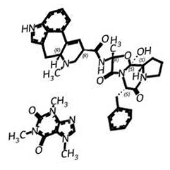 CN1C[C@H](C(=O)N[C@]2(C)O[C@@]3(O)[C@@H]4CCCN4C(=O)[C@H](Cc4ccccc4)N3C2=O)C=C2c3cccc4[nH]cc(c34)C[C@H]21.Cn1c(=O)c2c(ncn2C)n(C)c1=O